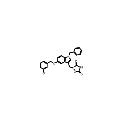 O=c1[nH]c(=O)n(Cc2cn(Cc3ccccc3)c3ccc(OCc4cccc(Cl)c4)cc23)o1